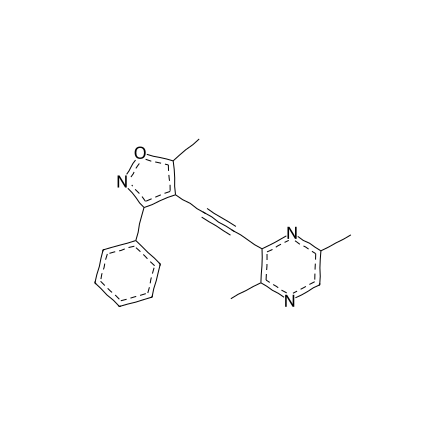 Cc1cnc(C)c(C#Cc2c(-c3ccccc3)noc2C)n1